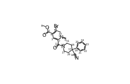 C=N/C(=C\C(C(=O)OC)=C(/C)Br)C(=O)N1CCC(C#N)(c2ccccc2)CC1